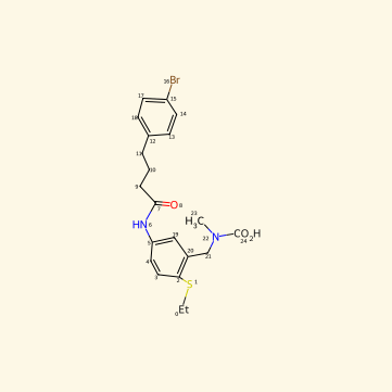 CCSc1ccc(NC(=O)CCCc2ccc(Br)cc2)cc1CN(C)C(=O)O